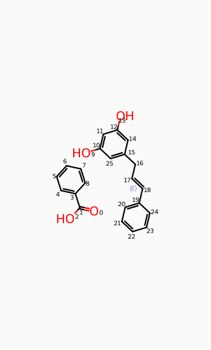 O=C(O)c1ccccc1.Oc1cc(O)cc(C/C=C/c2ccccc2)c1